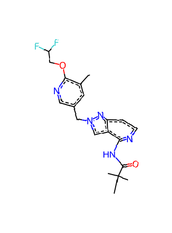 Cc1cc(Cn2cc3c(NC(=O)C(C)(C)C)nccc3n2)cnc1OCC(F)F